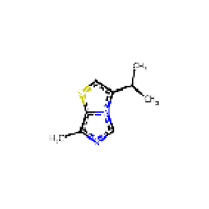 Cc1ncn2c(C(C)C)csc12